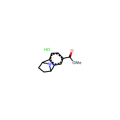 COC(=O)c1ccc2c(c1)C1CCC2N1.Cl